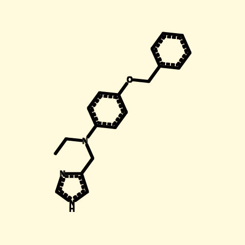 CCN(Cc1c[nH]cn1)c1ccc(OCc2ccccc2)cc1